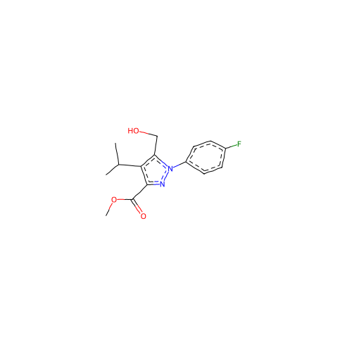 COC(=O)c1nn(-c2ccc(F)cc2)c(CO)c1C(C)C